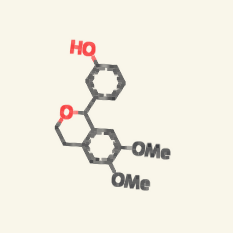 COc1cc2c(cc1OC)C(c1cccc(O)c1)OCC2